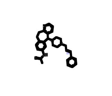 CC(=O)Nc1ccc2c(c1)C(N1CCN(C/C=C/c3ccccc3)CC1)c1cccnc1CC2